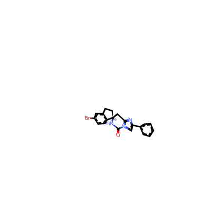 O=C1N[C@@]2(CCc3cc(Br)ccc32)Cc2nc(-c3ccccc3)cn21